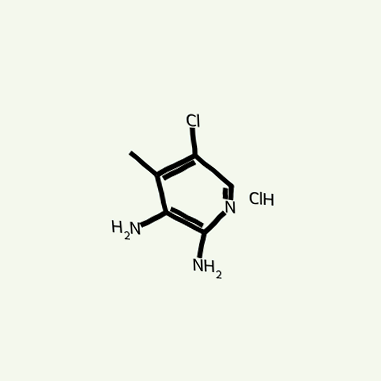 Cc1c(Cl)cnc(N)c1N.Cl